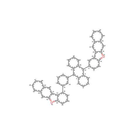 c1cc(-c2c3ccccc3c(-c3ccc4oc5cc6ccccc6cc5c4c3)c3ccccc23)cc(-c2cccc3oc4cc5ccccc5cc4c23)c1